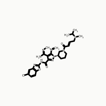 C=Nc1c(/C(N)=N\C)c(C(=O)Nc2nc3cc(Cl)ccc3o2)nn1[C@@H]1CCCN(C(=O)/C=C/CN(C)C(C)C)C1